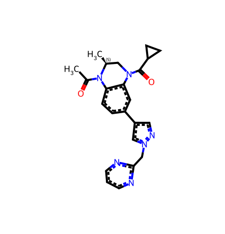 CC(=O)N1c2ccc(-c3cnn(Cc4ncccn4)c3)cc2N(C(=O)C2CC2)C[C@@H]1C